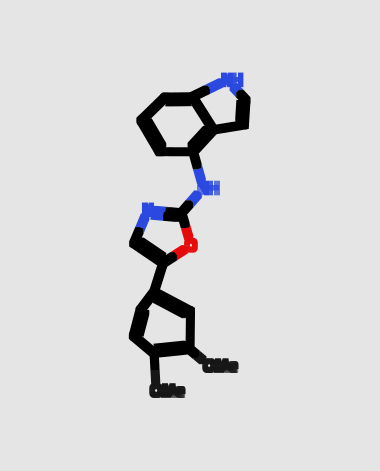 COc1ccc(-c2cnc(Nc3cccc4[nH]ccc34)o2)cc1OC